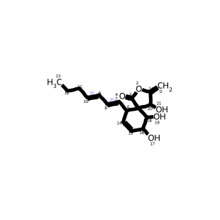 C=C1OC(=O)C2(C(/C=C/C=C/CCC)C=CC(O)C2O)C1O